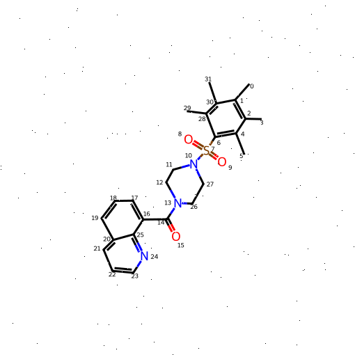 Cc1c(C)c(C)c(S(=O)(=O)N2CCN(C(=O)c3cccc4cccnc34)CC2)c(C)c1C